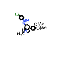 COc1ccc([C@@]23CCC(=NNc4ccc(Cl)cc4)C[C@@H]2N(C)CC3)cc1OC